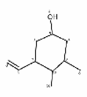 C=CC1CC(O)CC(C)C1C